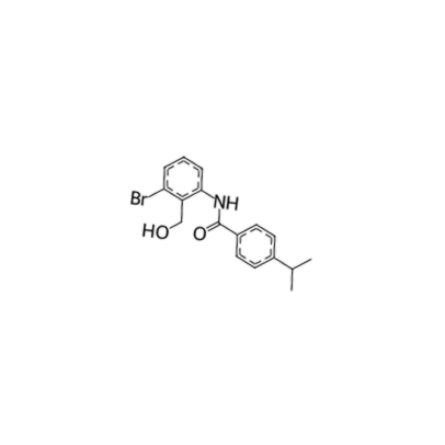 CC(C)c1ccc(C(=O)Nc2cccc(Br)c2CO)cc1